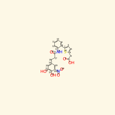 O=C(O)Cc1ccc(-c2ccccc2NC(=O)CCc2cc(O)c(O)c([N+](=O)[O-])c2)s1